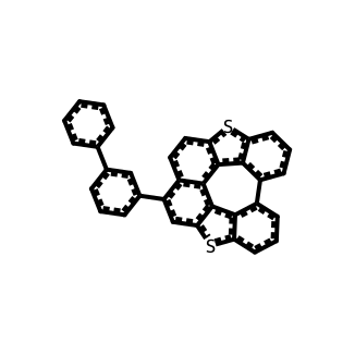 c1ccc(-c2cccc(-c3cc4sc5cccc6c5c4c4c3ccc3sc5cccc-6c5c34)c2)cc1